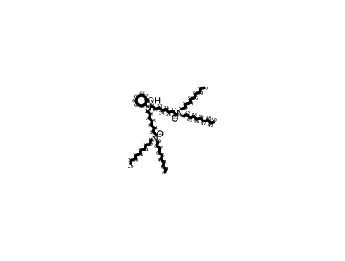 CCCCCCCCCCN(CCCCCCCCCC)C(=O)CCCCCCCN(CCCCCCCC(=O)N(CCCCCCCCCC)CCCCCCCCCC)C1CCCCCCC1O